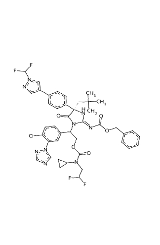 CC(C)(C)C[C@]1(c2ccc(-c3cnn(C(F)F)c3)cc2)NC(=NC(=O)OCc2ccccc2)N(C(COC(=O)N(CC(F)F)C2CC2)c2ccc(Cl)c(-n3cncn3)c2)C1=O